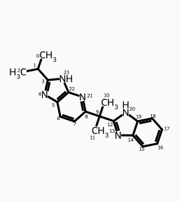 CC(C)c1nc2ccc(C(C)(C)c3nc4ccccc4[nH]3)nc2[nH]1